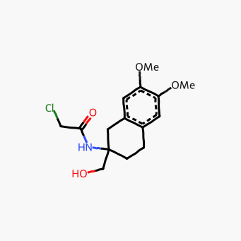 COc1cc2c(cc1OC)CC(CO)(NC(=O)CCl)CC2